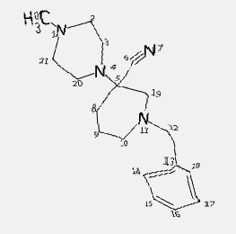 CN1CCN(C2(C#N)CCCN(Cc3ccccc3)C2)CC1